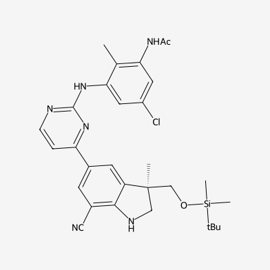 CC(=O)Nc1cc(Cl)cc(Nc2nccc(-c3cc(C#N)c4c(c3)[C@@](C)(CO[Si](C)(C)C(C)(C)C)CN4)n2)c1C